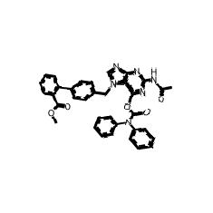 COC(=O)c1ccccc1-c1ccc(Cn2cnc3nc(NC(C)=O)nc(OC(=O)N(c4ccccc4)c4ccccc4)c32)cc1